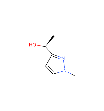 C[C@H](O)c1ccn(C)n1